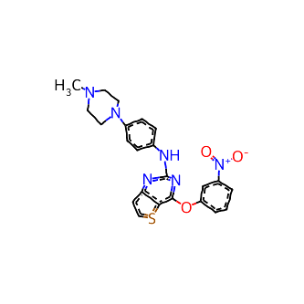 CN1CCN(c2ccc(Nc3nc(Oc4cccc([N+](=O)[O-])c4)c4sccc4n3)cc2)CC1